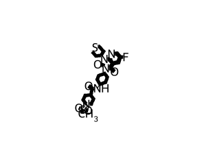 CS(=O)(=O)N1CCC(C(=O)N[C@H]2CC[C@@H](n3c(=O)c4cc(F)cnc4n(C4CCSCC4)c3=O)CC2)CC1